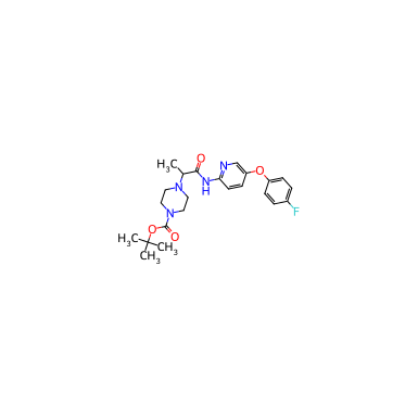 CC(C(=O)Nc1ccc(Oc2ccc(F)cc2)cn1)N1CCN(C(=O)OC(C)(C)C)CC1